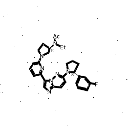 CCN(C(C)=O)[C@@H]1CCN(c2cccc(-c3cnc4ccc(N5CCC[C@@H]5c5cccc(F)c5)nn34)n2)C1